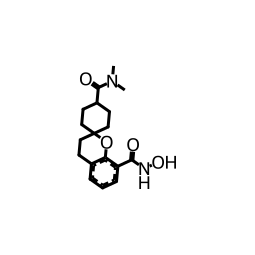 CN(C)C(=O)C1CCC2(CCc3cccc(C(=O)NO)c3O2)CC1